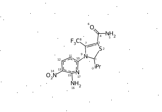 CC(C)C1SC(C(N)=O)=C(C(F)(F)F)N1c1ccc([N+](=O)[O-])c(N)n1